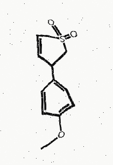 COc1ccc(C2C=CS(=O)(=O)C2)cc1